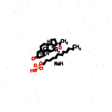 CC(=O)[C@H]1CCC2[C@H]3CCC4=CC(=O)CC[C@]4(C)[C@@H]3CC[C@@]21C.CCCCCCCCCCCCOS(=O)(=O)O.[NaH]